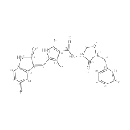 Cc1[nH]c(/C=C2\C(=O)Nc3ccc(F)cc32)c(C)c1C(=O)N[C@@H]1CON(Cc2cccnc2)C1=O